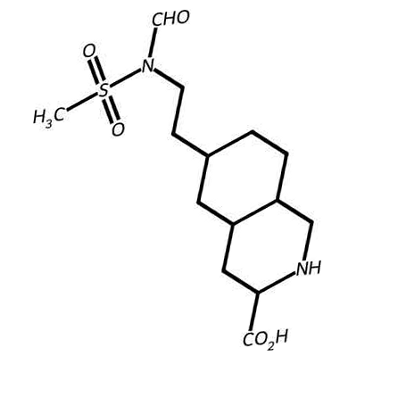 CS(=O)(=O)N(C=O)CCC1CCC2CNC(C(=O)O)CC2C1